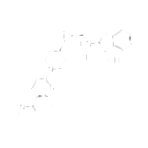 CN(C)C(=O)c1ccc(N2CCC([C@H]3C[C@H]3CNC(=O)[C@](O)(c3ccccc3)C(F)(F)F)CC2)nc1Cl